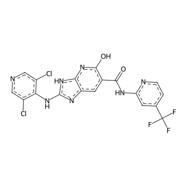 O=C(Nc1cc(C(F)(F)F)ccn1)c1cc2nc(Nc3c(Cl)cncc3Cl)[nH]c2nc1O